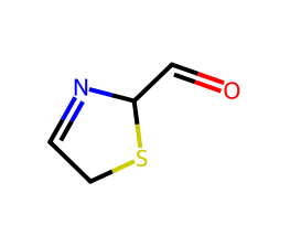 O=CC1N=CCS1